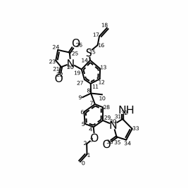 C=CCOc1ccc(C(C)(C)c2ccc(SCC=C)c(N3C(=O)C=CC3=O)c2)cc1N1C(=N)C=CC1=O